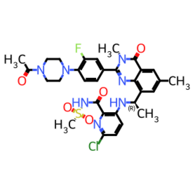 CC(=O)N1CCN(c2ccc(-c3nc4c([C@@H](C)Nc5ccc(Cl)nc5C(=O)NS(C)(=O)=O)cc(C)cc4c(=O)n3C)cc2F)CC1